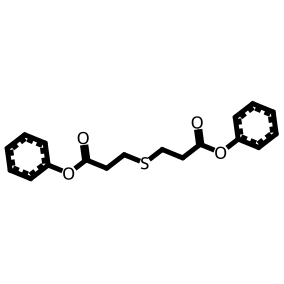 O=C(CCSCCC(=O)Oc1ccccc1)Oc1ccccc1